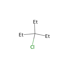 CCC(Cl)(CC)CC